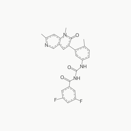 Cc1cc2c(cn1)cc(-c1cc(NC(=O)NC(=O)c3cc(F)cc(F)c3)ccc1C)c(=O)n2C